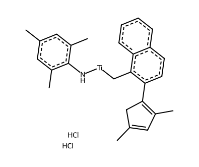 CC1=CC(C)=C(c2ccc3ccccc3c2[CH2][Ti][NH]c2c(C)cc(C)cc2C)C1.Cl.Cl